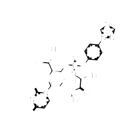 CC(C)OC(=O)[C@H](C)NP(=O)(OC[C@@H](O[C@H](CF)n1ccc(=O)[nH]c1=O)[C@H](C)O)Oc1ccc(-n2cncn2)cc1